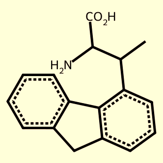 CC(c1cccc2c1-c1ccccc1C2)C(N)C(=O)O